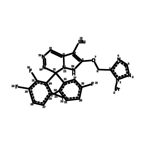 CC(C)n1ncnc1COC1=C(C(C)(C)C)C2=CN=NC(c3cc(F)ccc3F)(c3c(F)ccc(F)c3F)N2N1